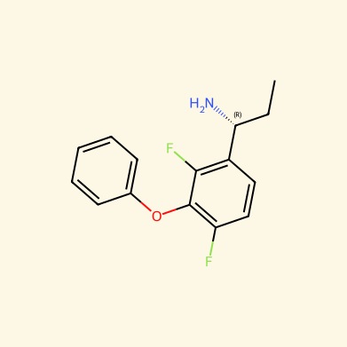 CC[C@@H](N)c1ccc(F)c(Oc2ccccc2)c1F